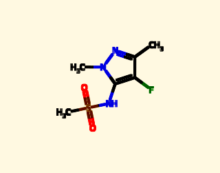 Cc1nn(C)c(NS(C)(=O)=O)c1F